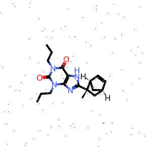 CCCn1c(=O)c2[nH]c([C@@]3(C)C[C@@H]4C=C[C@H]3C4)nc2n(CCC)c1=O